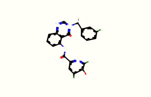 C[C@@H](c1cccc(F)c1)n1cnc2cccc(NC(=O)c3cc(Cl)c(O)c(Br)n3)c2c1=O